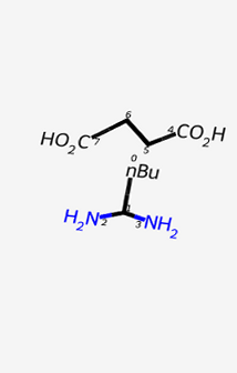 CCCCC(N)N.O=C(O)CCC(=O)O